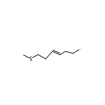 [CH2]CCC=CCCSC